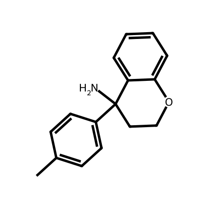 Cc1ccc(C2(N)CCOc3ccccc32)cc1